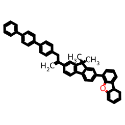 C=C(Cc1ccc(-c2ccc(-c3ccccc3)cc2)cc1)c1ccc2c(c1)C(C)(C)c1cc(-c3cccc4c3OC3=CC=CCC34)ccc1-2